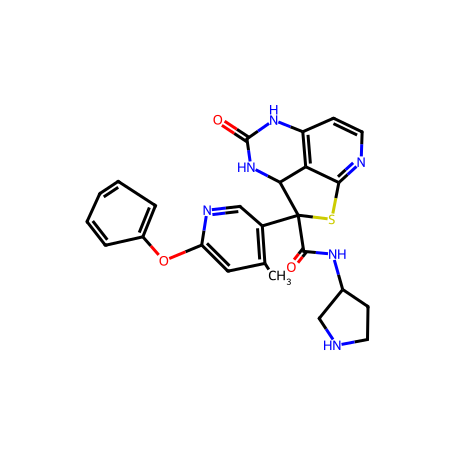 Cc1cc(Oc2ccccc2)ncc1C1(C(=O)NC2CCNC2)Sc2nccc3c2C1NC(=O)N3